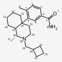 Cc1ccc(C(N)=O)cc1C12CCCCC1[C@@H](C)N(CC1CCC1)CC2